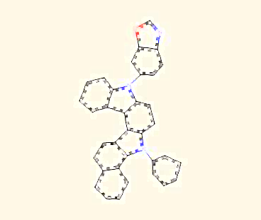 c1ccc(-n2c3ccc4c(c5ccccc5n4-c4ccc5ncoc5c4)c3c3ccc4ccccc4c32)cc1